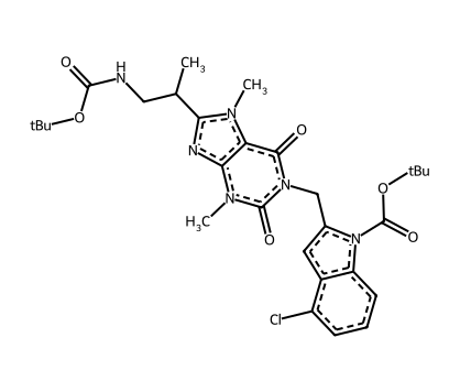 CC(CNC(=O)OC(C)(C)C)c1nc2c(c(=O)n(Cc3cc4c(Cl)cccc4n3C(=O)OC(C)(C)C)c(=O)n2C)n1C